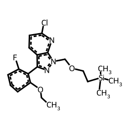 CCOc1cccc(F)c1-c1nn(COCC[Si](C)(C)C)c2nc(Cl)ccc12